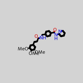 COc1cc(C=CC(=O)NCc2ccc(C(=O)Nc3ccccn3)cc2)cc(OC)c1OC